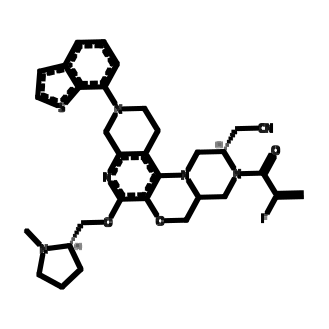 C=C(F)C(=O)N1CC2COc3c(OC[C@@H]4CCCN4C)nc4c(c3N2C[C@@H]1CC#N)CCN(c1cccc2ccsc12)C4